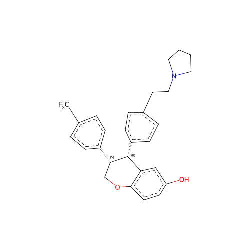 Oc1ccc2c(c1)[C@@H](c1ccc(CCN3CCCC3)cc1)[C@@H](c1ccc(C(F)(F)F)cc1)CO2